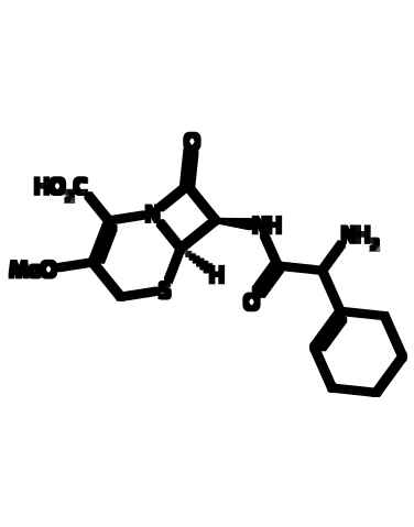 COC1=C(C(=O)O)N2C(=O)[C@@H](NC(=O)C(N)C3=CCCCC3)[C@H]2SC1